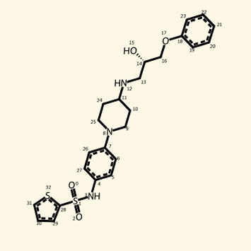 O=S(=O)(Nc1ccc(N2CCC(NC[C@H](O)COc3ccccc3)CC2)cc1)c1cccs1